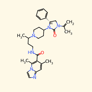 C=C(C)N1C[C@@H](c2ccccc2)N(C2CCN(C(C)CCNC(=O)c3c(C)cc4nccn4c3C)CC2)C1=O